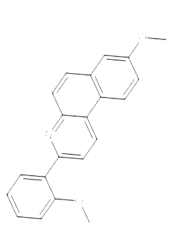 COc1ccc2c(ccc3nc(-c4ccccc4OC)ccc32)c1